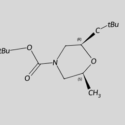 C[C@H]1CN(C(=O)OC(C)(C)C)C[C@@H](CC(C)(C)C)O1